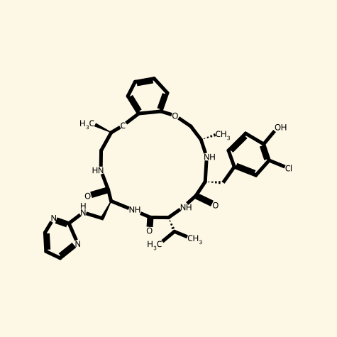 CC(C)[C@H]1NC(=O)[C@@H](Cc2ccc(O)c(Cl)c2)N[C@@H](C)COc2ccccc2C[C@H](C)CNC(=O)[C@H](CNc2ncccn2)NC1=O